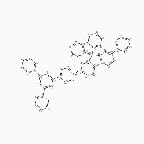 c1ccc(-c2cc(-c3ccccc3)nc(-c3ccc(-c4ccc5c(c4)C(c4ccccc4)(c4ccccc4)c4cc(-c6ccncc6)ccc4-5)cc3)n2)cc1